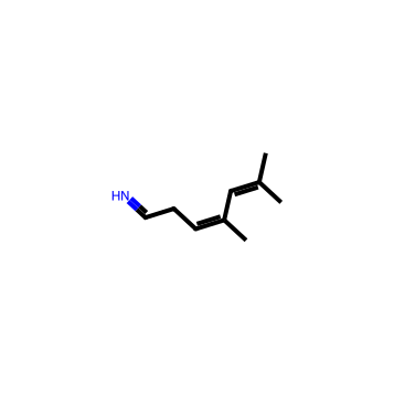 CC(C)=C/C(C)=C\CC=N